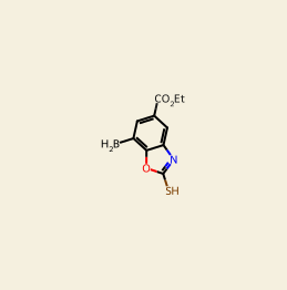 Bc1cc(C(=O)OCC)cc2nc(S)oc12